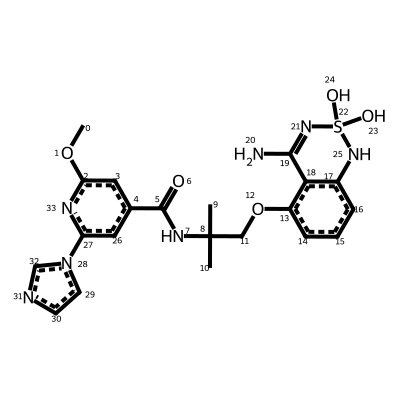 COc1cc(C(=O)NC(C)(C)COc2cccc3c2C(N)=NS(O)(O)N3)cc(-n2ccnc2)n1